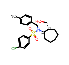 N#Cc1ccc(CN([C@@H]2CCCCC[C@H]2CO)S(=O)(=O)c2ccc(Cl)cc2)cc1